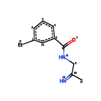 CCc1cccc(C(=O)NCC(C)=N)c1